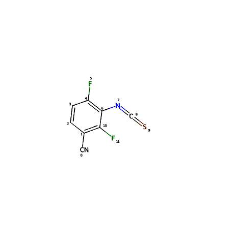 N#Cc1ccc(F)c(N=C=S)c1F